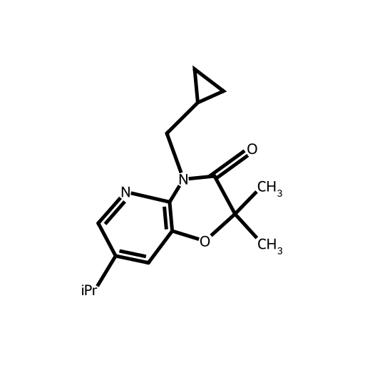 CC(C)c1cnc2c(c1)OC(C)(C)C(=O)N2CC1CC1